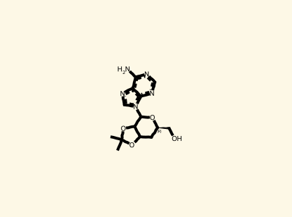 CC1(C)OC2C[C@H](CO)OC(n3cnc4c(N)ncnc43)C2O1